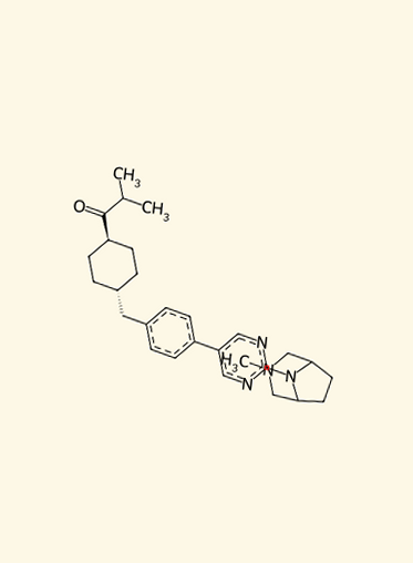 CC(C)C(=O)[C@H]1CC[C@H](Cc2ccc(-c3cnc(N4C5CCC4CN(C)C5)nc3)cc2)CC1